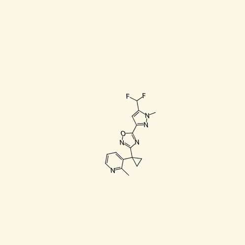 Cc1ncccc1C1(c2noc(-c3cc(C(F)F)n(C)n3)n2)CC1